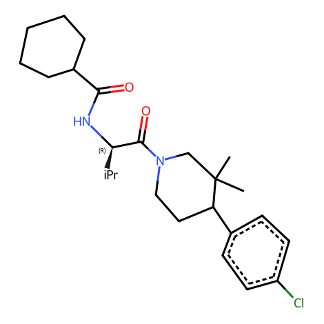 CC(C)[C@@H](NC(=O)C1CCCCC1)C(=O)N1CCC(c2ccc(Cl)cc2)C(C)(C)C1